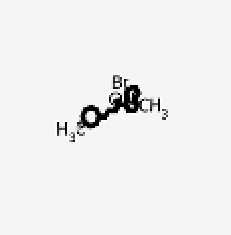 CC1=C2C=CC(Br)=CN2C(C(=O)CCCC2CCCC[C@H](C)CC2)=CC1